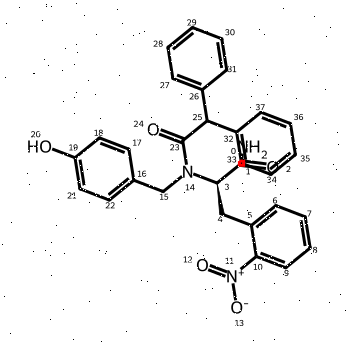 NC(=O)[C@@H](Cc1ccccc1[N+](=O)[O-])N(Cc1ccc(O)cc1)C(=O)C(c1ccccc1)c1ccccc1